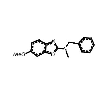 COc1ccc2nc(N(C)Cc3ccccc3)oc2c1